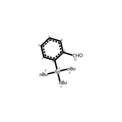 CCC[CH2][Sn]([CH2]CCC)([CH2]CCC)[c]1ccccc1C=O